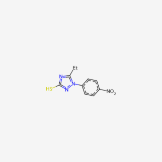 CCc1nc(S)nn1-c1ccc([N+](=O)[O-])cc1